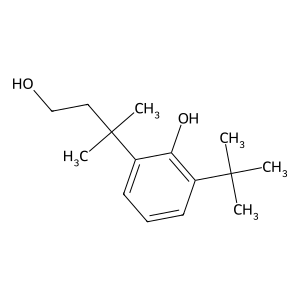 CC(C)(C)c1cccc(C(C)(C)CCO)c1O